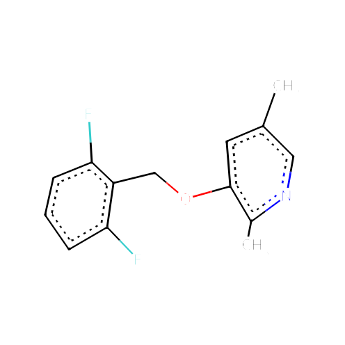 Cc1cnc(C)c(OCc2c(F)cccc2F)c1